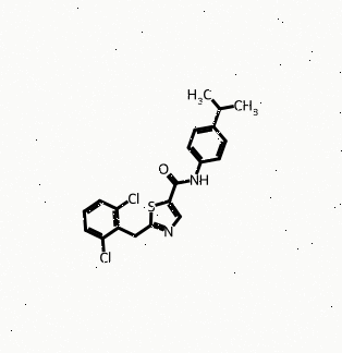 CC(C)c1ccc(NC(=O)c2cnc(Cc3c(Cl)cccc3Cl)s2)cc1